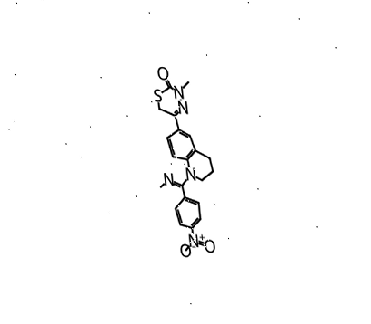 CN=C(c1ccc([N+](=O)[O-])cc1)N1CCCc2cc(C3=NN(C)C(=O)SC3)ccc21